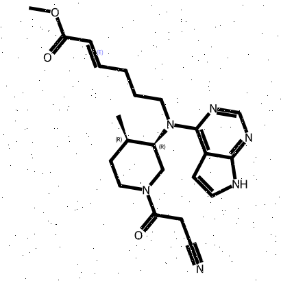 COC(=O)/C=C/CCCN(c1ncnc2[nH]ccc12)[C@H]1CN(C(=O)CC#N)CC[C@H]1C